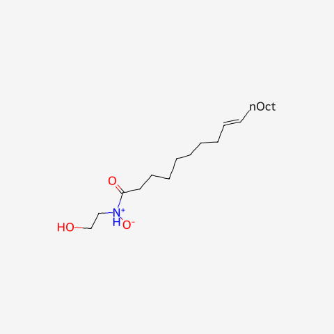 CCCCCCCCC=CCCCCCCCC(=O)[NH+]([O-])CCO